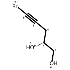 OC[C@H](O)CC#CBr